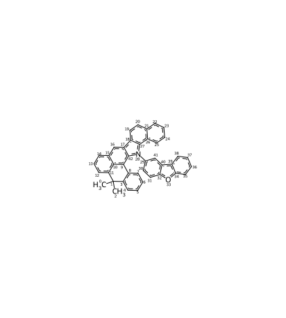 CC1(C)c2ccccc2-c2c3c1cccc3cc1c3ccc4ccccc4c3n(-c3ccc4oc5ccccc5c4c3)c21